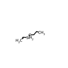 C=C[SiH2]OCCC